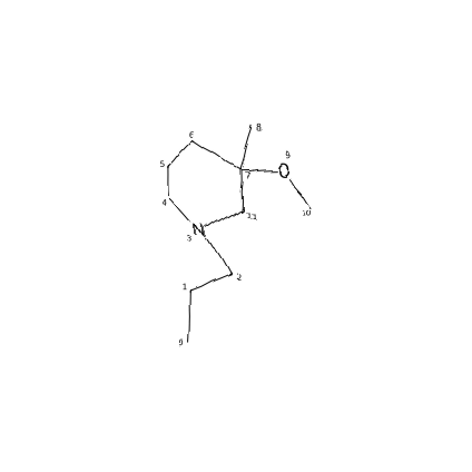 CCCN1CCCC(C)(OC)C1